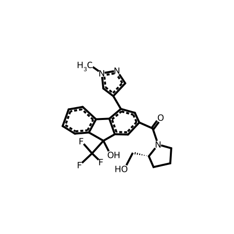 Cn1cc(-c2cc(C(=O)N3CCC[C@@H]3CO)cc3c2-c2ccccc2C3(O)C(F)(F)F)cn1